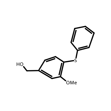 COc1cc(CO)ccc1Sc1ccccc1